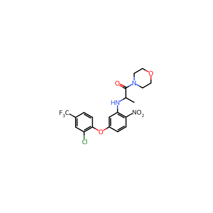 CC(Nc1cc(Oc2ccc(C(F)(F)F)cc2Cl)ccc1[N+](=O)[O-])C(=O)N1CCOCC1